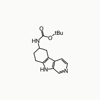 CC(C)(C)OC(=O)NC1CCc2[nH]c3cnccc3c2C1